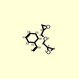 C(OCC1CO1)C1CO1.C=CC1CC=CCC1